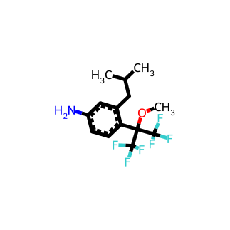 COC(c1ccc(N)cc1CC(C)C)(C(F)(F)F)C(F)(F)F